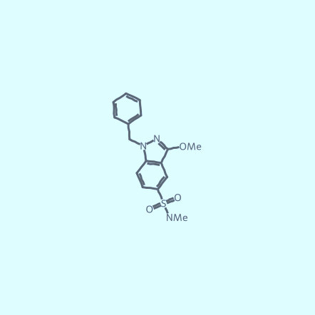 CNS(=O)(=O)c1ccc2c(c1)c(OC)nn2Cc1ccccc1